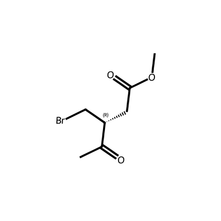 COC(=O)C[C@@H](CBr)C(C)=O